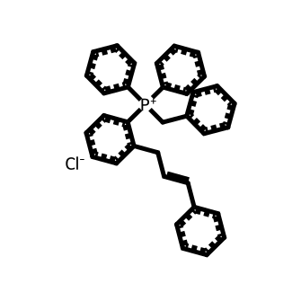 C(=Cc1ccccc1)Cc1ccccc1[P+](Cc1ccccc1)(c1ccccc1)c1ccccc1.[Cl-]